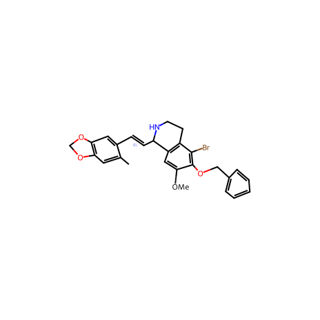 COc1cc2c(c(Br)c1OCc1ccccc1)CCNC2/C=C/c1cc2c(cc1C)OCO2